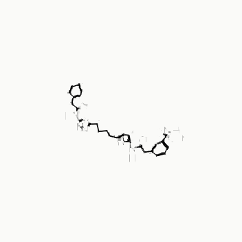 CC(C)(N)c1cccc(CC(=O)Nc2cc3c(CCCCc4nnc(NC(=O)Cc5ccccc5)s4)n2-3)c1